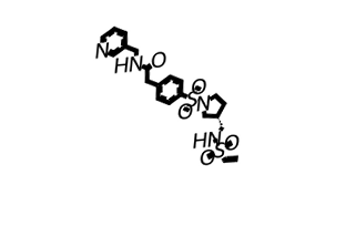 C=CS(=O)(=O)NC[C@H]1CCN(S(=O)(=O)c2ccc(CC(=O)NCc3cccnc3)cc2)C1